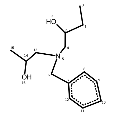 CCC(O)CN(Cc1ccccc1)CC(C)O